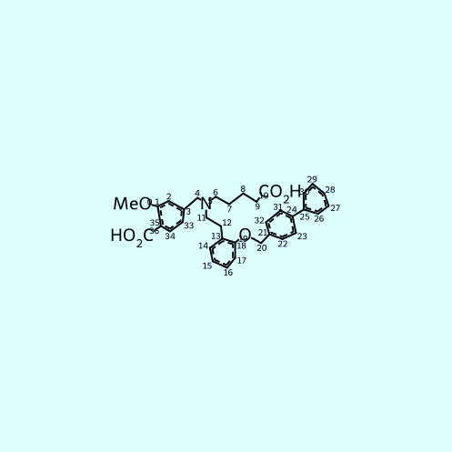 COc1cc(CN(CCCCC(=O)O)CCc2ccccc2OCc2ccc(-c3ccccc3)cc2)ccc1C(=O)O